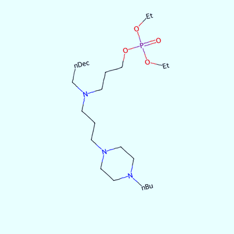 CCCCCCCCCCCN(CCCOP(=O)(OCC)OCC)CCCN1CCN(CCCC)CC1